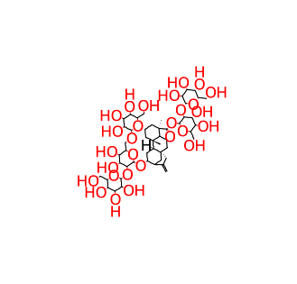 C=C1C[C@@]23CCC4[C@](C)(C(=O)OC5OC(CO)C(O)C(O)C5OC5OC(CO)C(O)C(O)C5O)CCC[C@@]4(C)[C@@H]2CC(OC2OC(COC4OC(CO)C(O)C(O)C4O)C(O)C(O)C2OC2OC(CO)C(O)C(O)C2O)C1C3